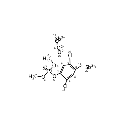 COP(=S)(OC)Oc1cc(Cl)c(I)cc1Cl.[O-2].[O-2].[O-2].[Sb+3].[Sb+3]